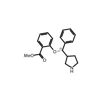 COC(=O)c1ccccc1O[C@H](c1ccccc1)C1CCNC1